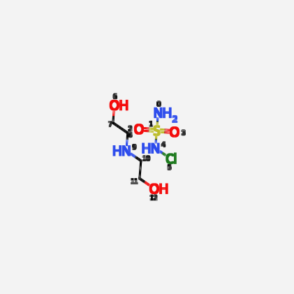 NS(=O)(=O)NCl.OCCNCCO